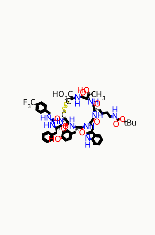 C[C@@H](O)[C@@H]1NC(=O)[C@H](CCCCNC(=O)OC(C)(C)C)NC(=O)[C@@H](Cc2c[nH]c3ccccc23)NC(=O)[C@H](Cc2ccc(O)cc2)NC(=O)[C@@H](NC(=O)[C@@H](Cc2ccccc2)NC(=O)NCc2ccc(C(F)(F)F)cc2)CSSC[C@@H](C(=O)O)NC1=O